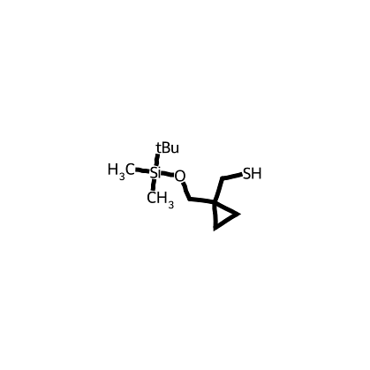 CC(C)(C)[Si](C)(C)OCC1(CS)CC1